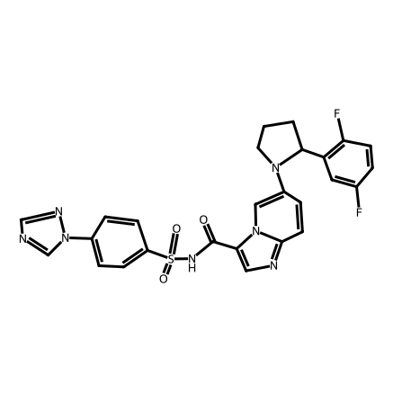 O=C(NS(=O)(=O)c1ccc(-n2cncn2)cc1)c1cnc2ccc(N3CCCC3c3cc(F)ccc3F)cn12